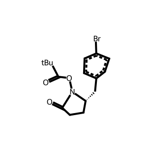 CC(C)(C)C(=O)ON1C(=O)CC[C@H]1Cc1ccc(Br)cc1